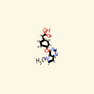 Cn1ccc2ncnc(Oc3ccc(CC(=O)O)cc3)c21